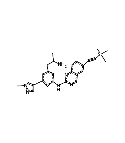 CC(N)Cc1cc(Nc2ncc3cc(C#C[Si](C)(C)C)ccc3n2)cc(-c2cnn(C)c2)c1